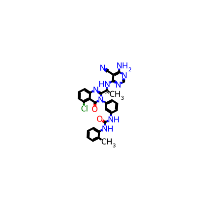 Cc1ccccc1NC(=O)Nc1cccc(-n2c([C@H](C)Nc3ncnc(N)c3C#N)nc3cccc(Cl)c3c2=O)c1